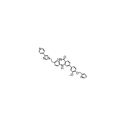 COc1cc(-c2ccc3c(c2)Nc2ccc(CCn4cnc(-c5ccncc5)c4)cc2NC3=O)ccc1OCc1cscn1